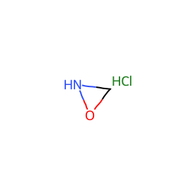 C1NO1.Cl